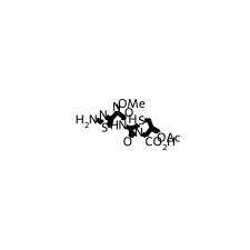 CO/N=C(\C(=O)NC1C(=O)N2C(C(=O)O)/C(=C\OC(C)=O)CS[C@H]12)c1csc(N)n1